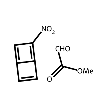 COC(=O)C=O.O=[N+]([O-])c1cc2ccc1-2